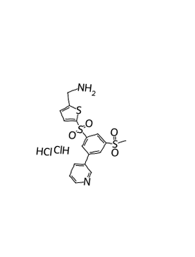 CS(=O)(=O)c1cc(-c2cccnc2)cc(S(=O)(=O)c2ccc(CN)s2)c1.Cl.Cl